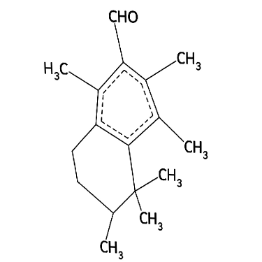 Cc1c(C)c2c(c(C)c1C=O)CCC(C)C2(C)C